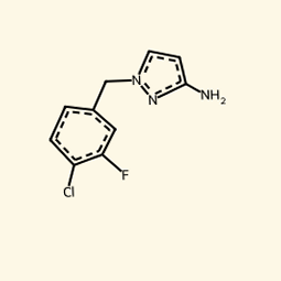 Nc1ccn(Cc2ccc(Cl)c(F)c2)n1